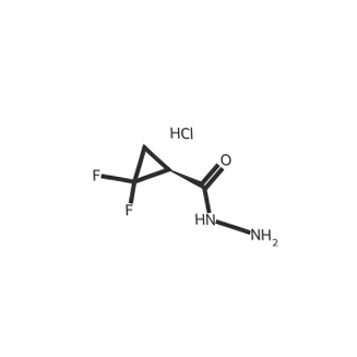 Cl.NNC(=O)[C@@H]1CC1(F)F